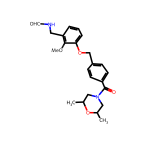 COc1c(CNC=O)cccc1OCc1ccc(C(=O)N2CC(C)OC(C)C2)cc1